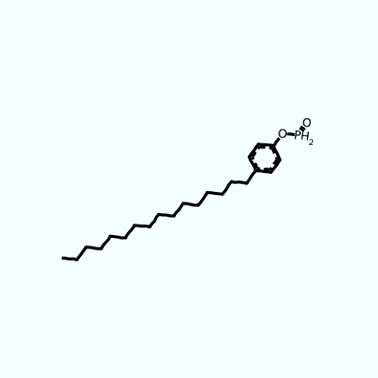 CCCCCCCCCCCCCCCCc1ccc(O[PH2]=O)cc1